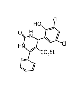 CCOC(=O)C1=C(c2ccccc2)NC(=O)NC1c1cc(Cl)cc(Cl)c1O